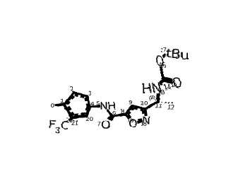 Cc1ccc(NC(=O)c2cc([C@@H](C)NC(=O)OC(C)(C)C)no2)cc1C(F)(F)F